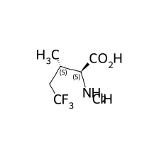 C[C@@H](CC(F)(F)F)[C@H](N)C(=O)O.Cl